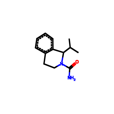 CC(C)C1c2ccccc2CCN1C(N)=O